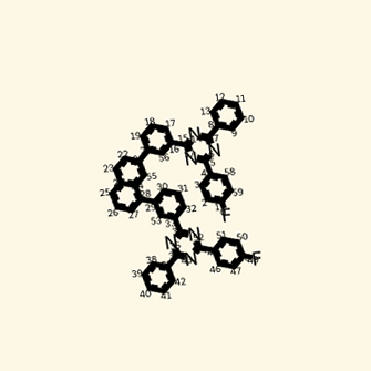 Fc1ccc(-c2nc(-c3ccccc3)nc(-c3cccc(-c4ccc5cccc(-c6cccc(-c7nc(-c8ccccc8)nc(-c8ccc(F)cc8)n7)c6)c5c4)c3)n2)cc1